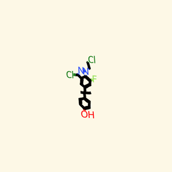 CC(C)(c1ccc(O)cc1)c1cc(F)c2c(c1)c(Cl)nn2CCCl